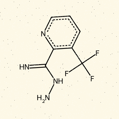 N=C(NN)c1ncccc1C(F)(F)F